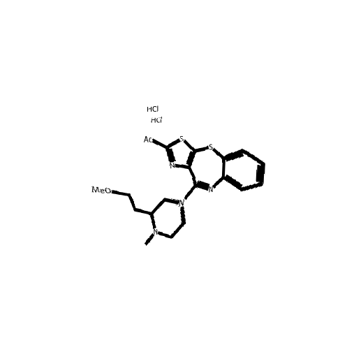 COCCC1CN(C2=Nc3ccccc3Sc3sc(C(C)=O)nc32)CCN1C.Cl.Cl